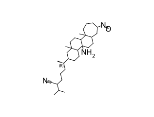 CC(C)C(C#N)CCC[C@@H](C)C1CCC2C(C)(CCC3C4(C)CCCC(N=O)CC4CCC23N)C1